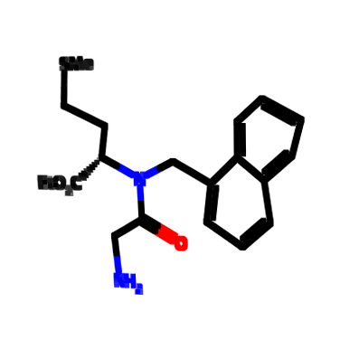 CCOC(=O)[C@H](CCSC)N(Cc1cccc2ccccc12)C(=O)CN